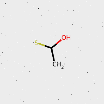 [CH2]C(O)[S]